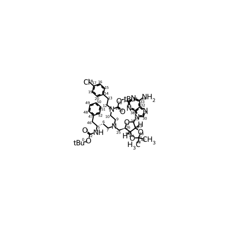 CC(C)(C)OC(=O)N[C@@H](CCN(CCN(CCc1ccc(Cl)cc1)C(=O)OC(C)(C)C)C[C@H]1O[C@@H](n2cnc3c(N)ncnc32)[C@@H]2OC(C)(C)O[C@@H]21)Cc1ccccc1